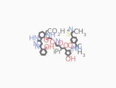 Cc1ncsc1-c1ccc([C@H](C)NC(=O)[C@@H]2C[C@@H](O)CC2C(=O)C(c2cc(OCC(=O)N[C@@]3(CC(=O)O)CCc4[nH]c5nnc(-c6ccccc6O)cc5c4C3)no2)C(C)C)cc1